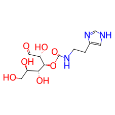 O=C[C@H](O)[C@@H](OC(=O)NCCc1c[nH]cn1)[C@H](O)[C@H](O)CO